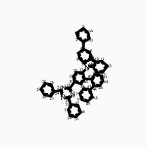 c1ccc(-c2ccc3c(c2)c2ccccc2n3-c2ccc(-c3nc(-c4ccccc4)nc(-c4ccccc4)n3)cc2-c2ccccc2-c2ccccc2)cc1